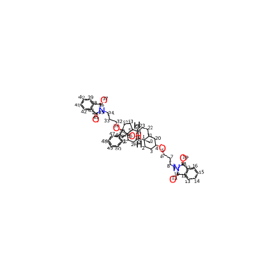 C[C@]12CCC(OCCCN3C(=O)c4ccccc4C3=O)CC1CC[C@@H]1[C@H]2CC[C@]2(C)C(OCCCN3C(=O)c4ccccc4C3=O)(c3ccccc3)CC[C@@]12O